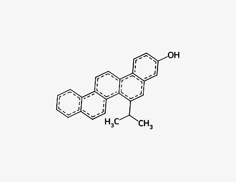 CC(C)c1cc2cc(O)ccc2c2ccc3c4ccccc4ccc3c12